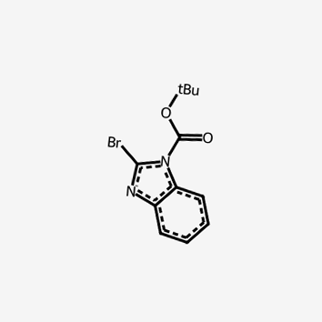 CC(C)(C)OC(=O)n1c(Br)nc2ccccc21